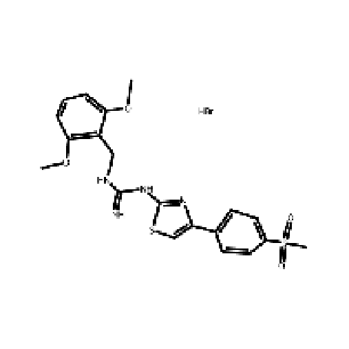 Br.COc1cccc(OC)c1CNC(=N)Nc1nc(-c2ccc(S(C)(=O)=O)cc2)cs1